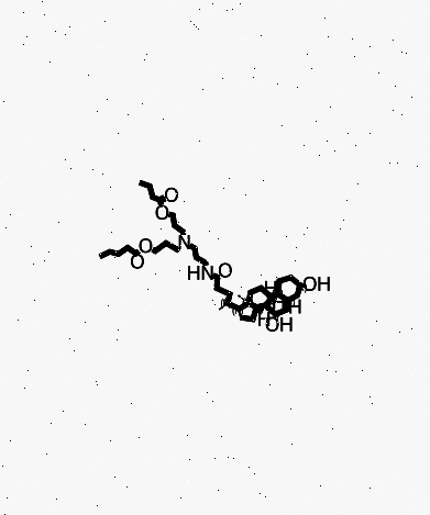 CCCCC(=O)OCCCN(CCCNC(=O)CC[C@@H](C)[C@H]1CC[C@H]2[C@@H]3[C@@H](O)C[C@@H]4C[C@H](O)CC[C@]4(C)[C@H]3CC[C@]12C)CCCOC(=O)CCC